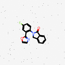 O=C1c2ccccc2CN1c1ccc(F)cc1-c1ncco1